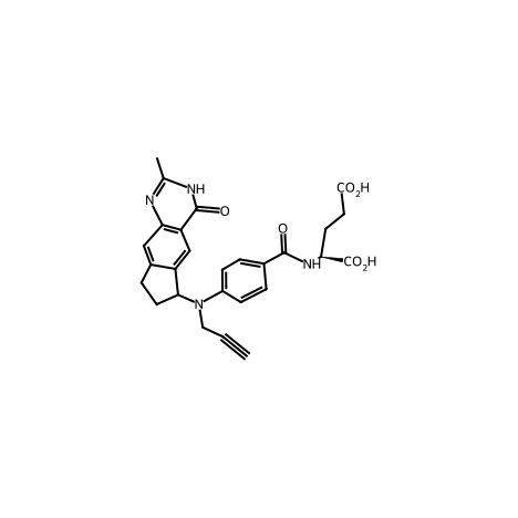 C#CCN(c1ccc(C(=O)N[C@@H](CCC(=O)O)C(=O)O)cc1)C1CCc2cc3nc(C)[nH]c(=O)c3cc21